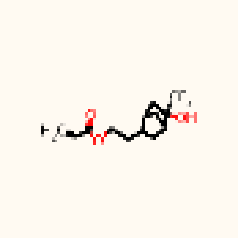 C=CC(=O)OCCC1CC2CC1CC2(O)C(F)(F)F